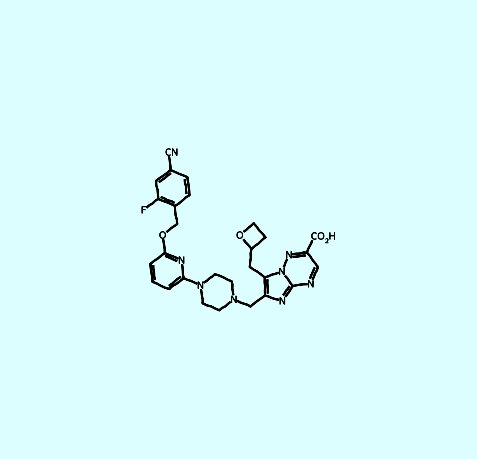 N#Cc1ccc(COc2cccc(N3CCN(Cc4nc5ncc(C(=O)O)nn5c4CC4CCO4)CC3)n2)c(F)c1